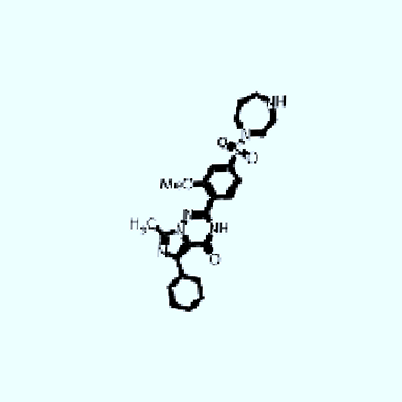 COc1cc(S(=O)(=O)N2CCCNCC2)ccc1-c1nn2c(C)nc(C3CCCCC3)c2c(=O)[nH]1